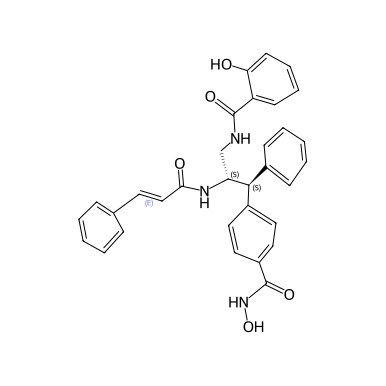 O=C(/C=C/c1ccccc1)N[C@H](CNC(=O)c1ccccc1O)[C@@H](c1ccccc1)c1ccc(C(=O)NO)cc1